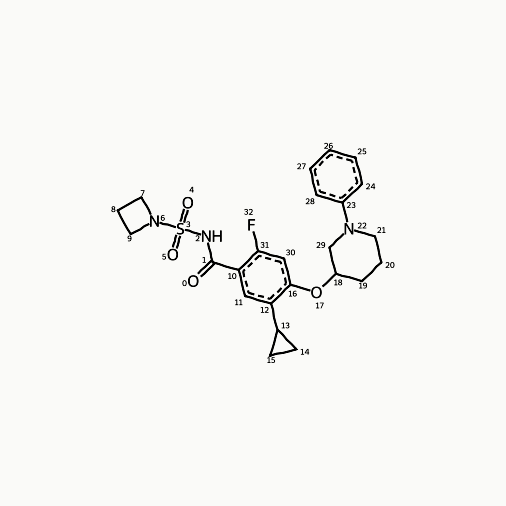 O=C(NS(=O)(=O)N1CCC1)c1cc(C2CC2)c(OC2CCCN(c3ccccc3)C2)cc1F